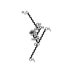 CCCCCCCCCCCC(=O)OC(CCCCCCCCCCC)CC(=O)NC(CCOP(=O)(O)O)C(=O)NCCCC(CO)NC(=O)CC(O)CCCCCCCCCCC